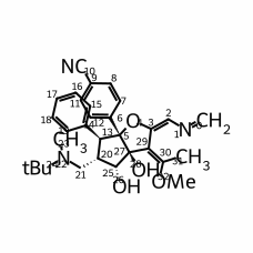 C=N/C=C1/O[C@@]2(c3ccc(C#N)cc3)[C@H](c3ccccc3)[C@@H](CN(C)C(C)(C)C)[C@@H](O)[C@@]2(O)/C1=C(/C)OC